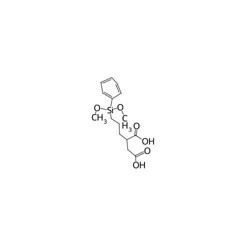 CO[Si](CCCC(CC(=O)O)C(=O)O)(OC)c1ccccc1